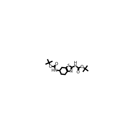 CC(C)(C)OC(=O)Nc1nc2c(s1)CC(NC(=O)OC(C)(C)C)CC2